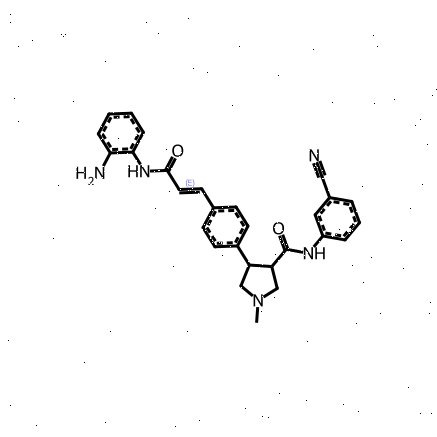 CN1CC(C(=O)Nc2cccc(C#N)c2)C(c2ccc(/C=C/C(=O)Nc3ccccc3N)cc2)C1